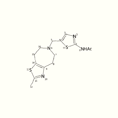 CC(=O)Nc1ncc(CN2CCc3nc(C)sc3CC2)s1